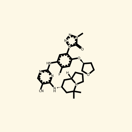 Cn1nnn(-c2cc(Nc3ncc(C#N)c(N[C@@H]4C[C@@H]5CCCN5C(C)(C)C4)n3)c(F)cc2O[C@H]2CCOC2)c1=O